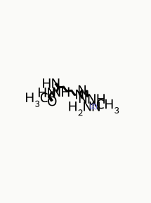 C/N=C(/N)Nc1cnn(CCCCC(=N)NNC(C)=O)n1